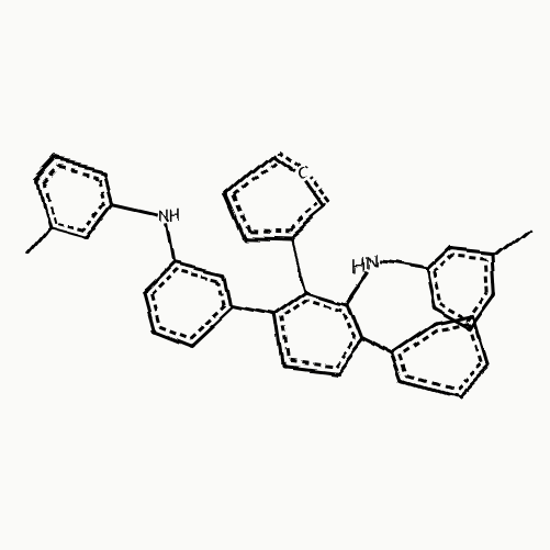 Cc1cccc(Nc2cccc(-c3ccc(-c4ccccc4)c(Nc4cccc(C)c4)c3-c3ccccc3)c2)c1